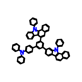 c1ccc(N(c2ccccc2)c2ccc(-c3cc(-c4ccc5c6ccc7ccccc7c6n(-c6ccccc6)c5c4)cc(-c4cc5ccccc5c5c4c4ccccc4n5-c4ccccc4)c3)cc2)cc1